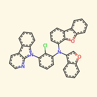 Clc1c(N(c2coc3ccccc23)c2cccc3c2oc2ccccc23)cccc1-n1c2ccccc2c2cccnc21